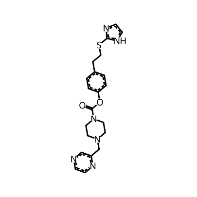 O=C(Oc1ccc(CCSc2ncc[nH]2)cc1)N1CCN(Cc2cnccn2)CC1